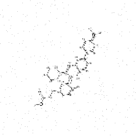 COC(=O)CCc1ccc(C)c(N(Cc2ccc(-c3ccc(N(C)C)cc3)cc2)C(=O)C2CCCCC2)c1